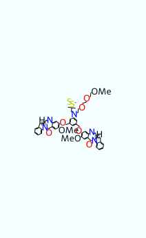 COCCOCCOCCN(CC(C)(C)S(C)=S)c1cc(COc2cc3c(cc2OC)C(=O)N2c4ccccc4C[C@H]2C=N3)cc(COc2cc3c(cc2OC)C(=O)N2c4ccccc4C[C@@H]2C=N3)c1